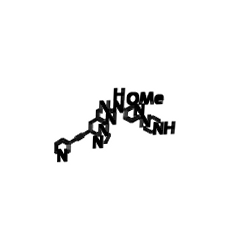 COc1nc(N2CCNCC2)ccc1Nc1ncc2c(n1)N1CCN=C1C(C#Cc1cccnc1)=C2